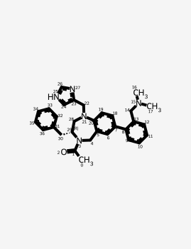 CC(=O)N1Cc2cc(-c3ccccc3CN(C)C)ccc2N(Cc2c[nH]cn2)C[C@H]1Cc1ccccc1